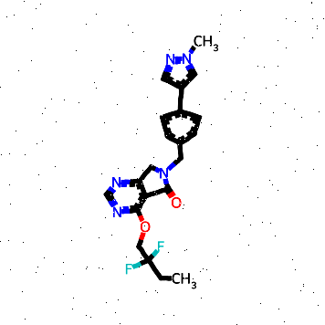 CCC(F)(F)COc1ncnc2c1C(=O)N(Cc1ccc(-c3cnn(C)c3)cc1)C2